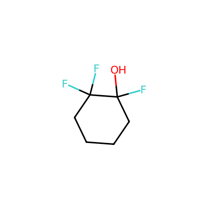 OC1(F)CCCCC1(F)F